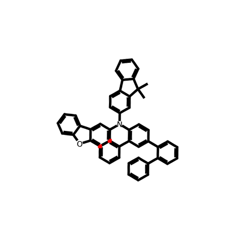 CC1(C)c2ccccc2-c2ccc(N(c3ccc4oc5ccccc5c4c3)c3ccc(-c4ccccc4-c4ccccc4)cc3-c3ccccc3)cc21